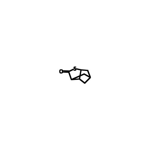 O=C1SC2CC3CC1C2C3